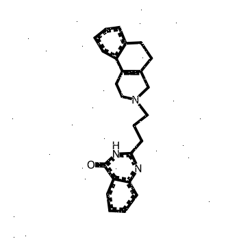 O=c1[nH]c(CCCN2CCC3=C(CCc4ccccc43)C2)nc2ccccc12